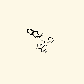 C[C@H](N[C@H](/C=C/C(=O)N1Cc2ccccc2C1)CC1CCCCC1)C(N)=O